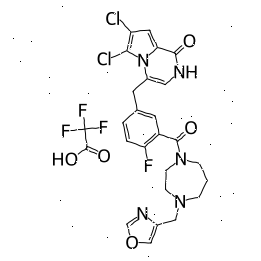 O=C(O)C(F)(F)F.O=C(c1cc(Cc2c[nH]c(=O)c3cc(Cl)c(Cl)n23)ccc1F)N1CCCN(Cc2cocn2)CC1